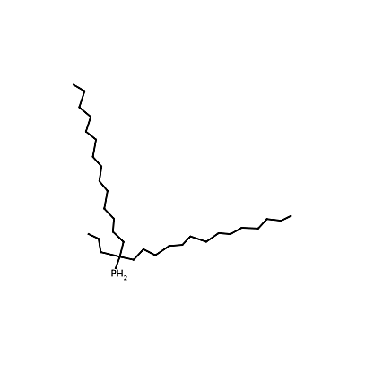 CCCCCCCCCCCCCCC(P)(CCC)CCCCCCCCCCCCCC